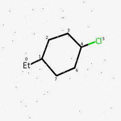 CCC1CCC(Cl)CC1